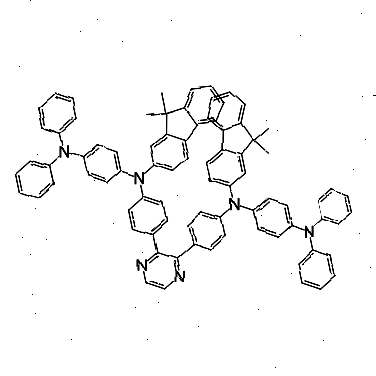 CC1(C)c2ccccc2-c2ccc(N(c3ccc(-c4nccnc4-c4ccc(N(c5ccc(N(c6ccccc6)c6ccccc6)cc5)c5ccc6c(c5)C(C)(C)c5ccccc5-6)cc4)cc3)c3ccc(N(c4ccccc4)c4ccccc4)cc3)cc21